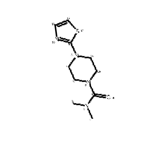 CN(C)C(=O)N1CCN(c2nccs2)CC1